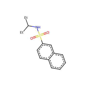 CCC(CC)NS(=O)(=O)c1ccc2ccccc2c1